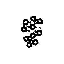 N#Cc1c(-n2c3ccccc3c3cc4c(cc32)-c2ccccc2[Si]4(c2ccccc2)c2ccccc2)c(C#N)c2c3c1-n1c4ccccc4c4cccc(c41)B3c1cccc3c4ccccc4n-2c13